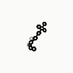 c1ccc(-c2c3ccccc3c(-c3ccc(-c4ccc5c(c4)oc4cc6oc7ccc8ccccc8c7c6cc45)cc3)c3ccccc23)cc1